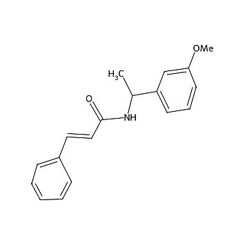 COc1cccc(C(C)NC(=O)C=Cc2ccccc2)c1